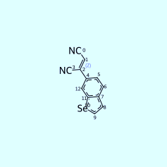 N#C/C=C(\C#N)c1ccc2cc[se]c2c1